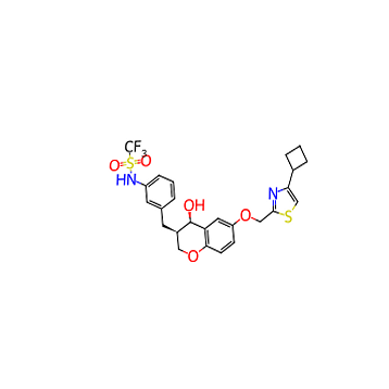 O=S(=O)(Nc1cccc(C[C@@H]2COc3ccc(OCc4nc(C5CCC5)cs4)cc3[C@@H]2O)c1)C(F)(F)F